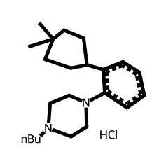 CCCCN1CCN(c2ccccc2C2CCC(C)(C)CC2)CC1.Cl